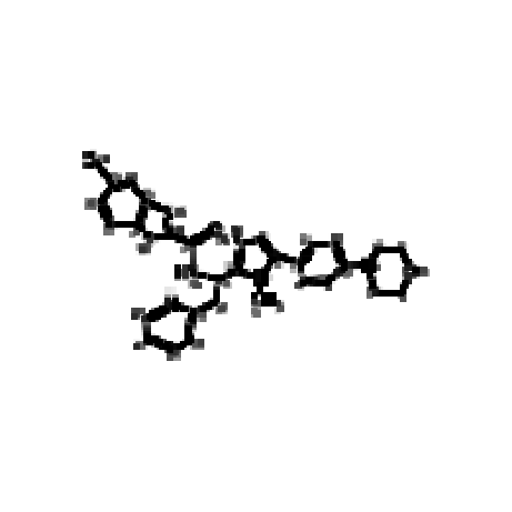 Cn1c(-c2ccc(N3CCOCC3)cc2)cnc1C(Cc1ccccn1)NC(=O)c1nc2cc(Cl)ccc2s1